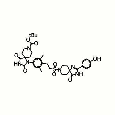 Cc1cc(N2C(=O)NC(=O)C23CCN(C(=O)OC(C)(C)C)CC3)cc(C)c1CCS(=O)(=O)N1CCC2(CC1)N=C(c1ccc(O)cc1)NC2=O